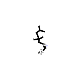 CC(C)CC(C)(C)C/N=C\N